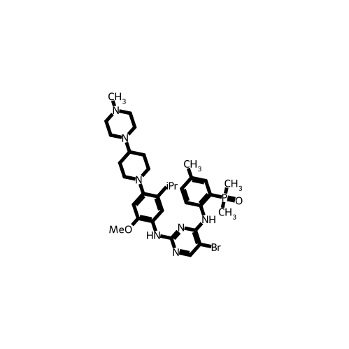 COc1cc(N2CCC(N3CCN(C)CC3)CC2)c(C(C)C)cc1Nc1ncc(Br)c(Nc2ccc(C)cc2P(C)(C)=O)n1